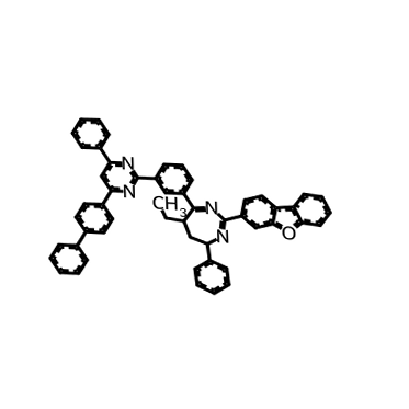 CCC1CC(c2ccccc2)N=C(c2ccc3c(c2)oc2ccccc23)N=C1c1cccc(-c2nc(-c3ccccc3)cc(-c3ccc(-c4ccccc4)cc3)n2)c1